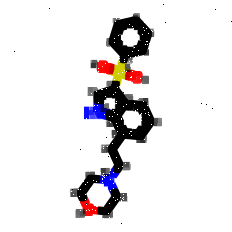 O=S(=O)(c1ccccc1)c1c[nH]c2c(CCN3CCOCC3)cccc12